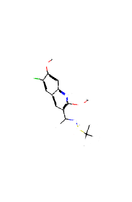 COc1cc2nc(OC)c(C(C)N[S@@+]([O-])C(C)(C)C)cc2cc1Cl